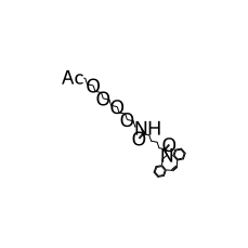 CC(=O)CCOCCOCCOCCOCCNC(=O)CCCCC(=O)N1Cc2ccccc2C#Cc2ccccc21